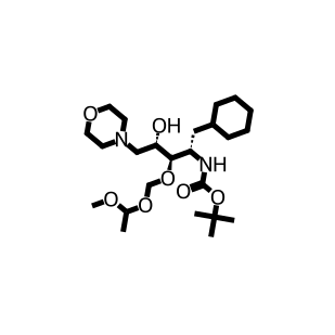 COC(C)OCO[C@H]([C@H](CC1CCCCC1)NC(=O)OC(C)(C)C)[C@@H](O)CN1CCOCC1